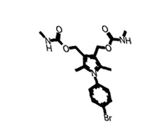 CNC(=O)OCc1c(COC(=O)NC)c(C)n(-c2ccc(Br)cc2)c1C